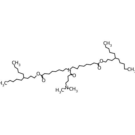 CCCCCC(CCCCC)CCCOC(=O)CCCCCCCN(CCCCCCCC(=O)OCCCC(CCCCC)CCCCC)C(=O)CCCN(C)C